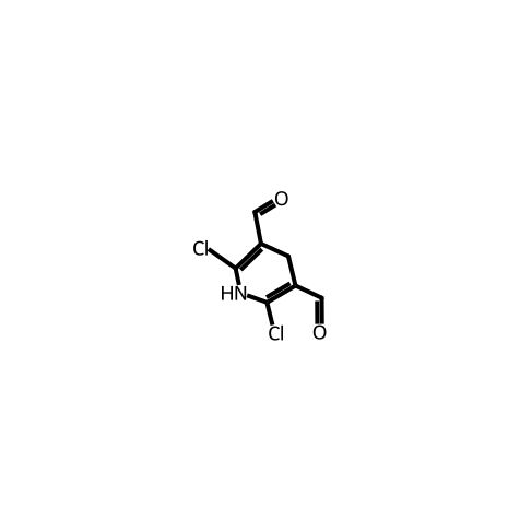 O=CC1=C(Cl)NC(Cl)=C(C=O)C1